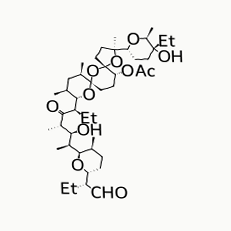 CC[C@@H](C=O)[C@H]1CC[C@H](C)[C@H]([C@@H](C)[C@H](O)[C@H](C)C(=O)[C@H](CC)[C@H]2O[C@]3(CC[C@@H](OC(C)=O)[C@]4(CC[C@@](C)([C@H]5CC[C@](O)(CC)[C@H](C)O5)O4)O3)[C@H](C)C[C@@H]2C)O1